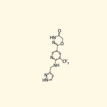 O=C1COC(c2cnc(NCc3cc[nH]n3)c(C(F)(F)F)c2)=NN1